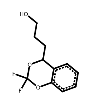 OCCCC1OC(F)(F)Oc2ccccc21